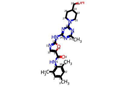 Cc1cc(C)c(NC(=O)c2cnc(Nc3nc(C)nc(N4CCC(CO)CC4)n3)o2)c(C)c1